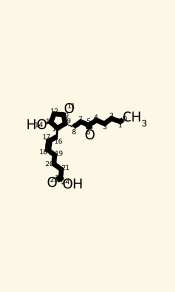 CCCCCC(=O)CC[C@H]1C(=O)C[C@H](O)[C@@H]1C/C=C\CCCC(=O)O